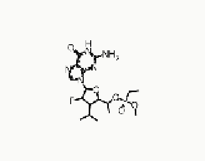 CCP(=O)(OC)OC(C)C1OC(n2cnc3c(=O)[nH]c(N)nc32)C(F)C1C(C)C